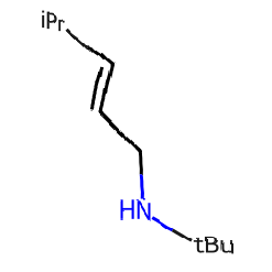 CC(C)/C=C/CNC(C)(C)C